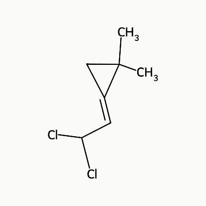 CC1(C)C/C1=C\C(Cl)Cl